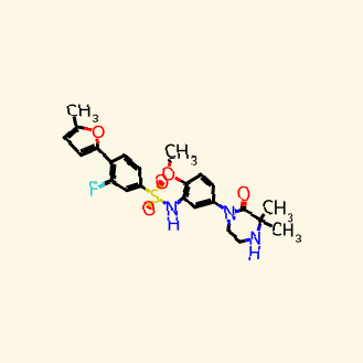 COc1ccc(N2CCNC(C)(C)C2=O)cc1NS(=O)(=O)c1ccc(-c2ccc(C)o2)c(F)c1